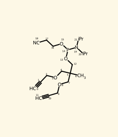 C#CCOCC(C)(COCC#C)COP(OCCC#N)N(C(C)C)C(C)C